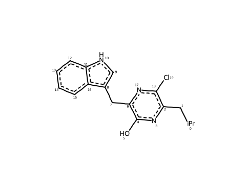 CC(C)Cc1nc(O)c(Cc2c[nH]c3ccccc23)nc1Cl